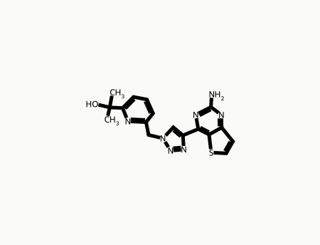 CC(C)(O)c1cccc(Cn2cc(-c3nc(N)nc4ccsc34)nn2)n1